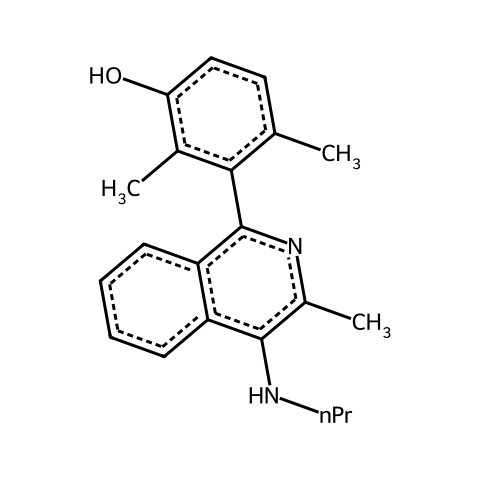 CCCNc1c(C)nc(-c2c(C)ccc(O)c2C)c2ccccc12